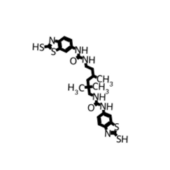 CC(CCNC(=O)Nc1ccc2nc(S)sc2c1)CC(C)(C)CNC(=O)Nc1ccc2nc(S)sc2c1